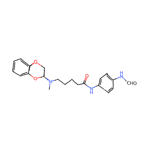 CN(CCCCC(=O)Nc1ccc(NC=O)cc1)[C@@H]1COc2ccccc2O1